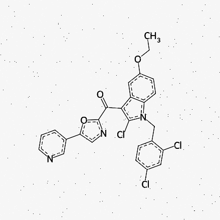 CCOc1ccc2c(c1)c(C(=O)c1ncc(-c3cccnc3)o1)c(Cl)n2Cc1ccc(Cl)cc1Cl